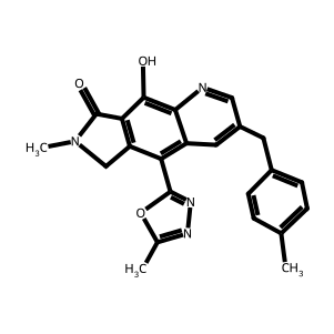 Cc1ccc(Cc2cnc3c(O)c4c(c(-c5nnc(C)o5)c3c2)CN(C)C4=O)cc1